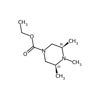 CCOC(=O)N1C[C@@H](C)N(C)[C@@H](C)C1